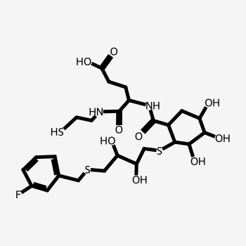 O=C(O)CCC(NC(=O)C1CC(O)C(O)C(O)C1SCC(O)C(O)CSCc1cccc(F)c1)C(=O)NCCS